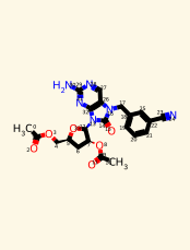 CC(=O)OC[C@@H]1C[C@@H](OC(C)=O)[C@H](n2c(=O)n(Cc3cccc(C#N)c3)c3cnc(N)nc32)O1